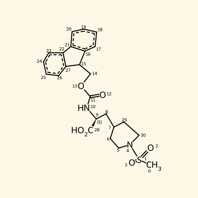 CS(=O)(=O)N1CCC(C[C@H](NC(=O)OCC2c3ccccc3-c3ccccc32)C(=O)O)CC1